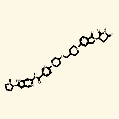 CN1CCC[C@@H]1c1cc2cnc(NC(=O)c3ccc(N4CCC(OCC5CCN(c6ccc7c(c6)CN(C6CCC(=O)NC6=O)C7=O)CC5)CC4)nc3)cc2[nH]1